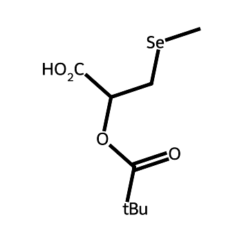 C[Se]CC(OC(=O)C(C)(C)C)C(=O)O